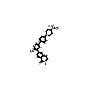 CN(C)C1CCN(c2ccc(-c3cnc(N)c(-c4ccc5c(c4)CCNC5=O)c3)cc2)CC1